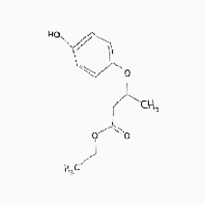 CCOC(=O)CC(C)Oc1ccc(O)cc1